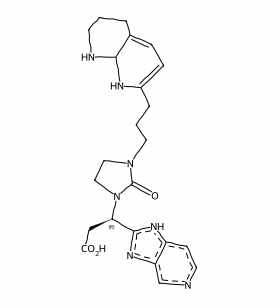 O=C(O)C[C@H](c1nc2cnccc2[nH]1)N1CCN(CCCC2=CC=C3CCCNC3N2)C1=O